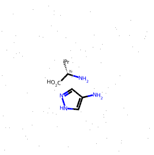 CC(C)[C@H](N)C(=O)O.Nc1cn[nH]c1